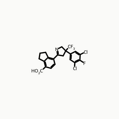 O=C(O)c1ccc(C2=NCC(c3cc(Cl)c(F)c(Cl)c3)(C(F)(F)F)C2)c2c1CCC2